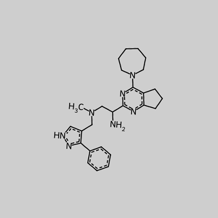 CN(Cc1c[nH]nc1-c1ccccc1)CC(N)c1nc2c(c(N3CCCCCC3)n1)CCC2